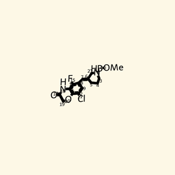 COBN1CCC/C(=C\c2cc(Cl)c3c(c2F)NC(=O)CO3)C1